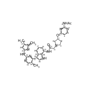 CC(=O)Nc1nccc(OC2CCN(CC(=O)Nc3cccc4c(-c5nc(Nc6cc(C)n(C)n6)ncc5C)c[nH]c34)C2)n1